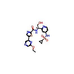 CCOc1cncc(-c2cnc(C(=O)N[C@@H](CO)c3cc(NS(=O)(=O)C4CC4)ccn3)s2)n1